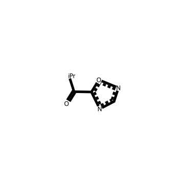 CC(C)C(=O)c1ncno1